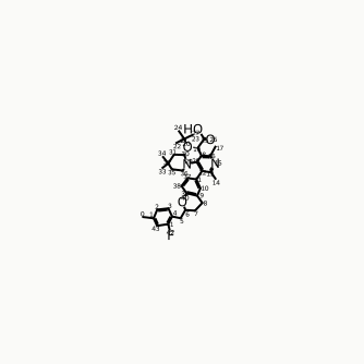 Cc1ccc(CC2CCc3cc(-c4c(C)nc(C)c([C@H](OC(C)(C)C)C(=O)O)c4N4CCC(C)(C)CC4)ccc3O2)c(F)c1